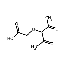 CC(=O)C(OCC(=O)O)C(C)=O